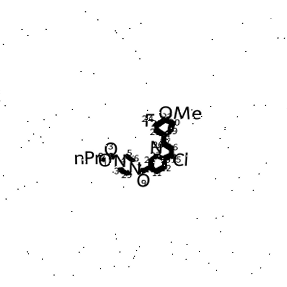 CCCOC(=O)N1CCN(C(=O)c2ccc3c(Cl)cc(-c4ccc(OC)c(F)c4)nc3c2)CC1